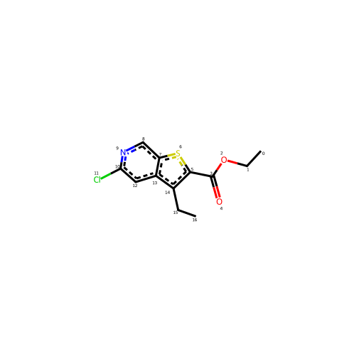 CCOC(=O)c1sc2cnc(Cl)cc2c1CC